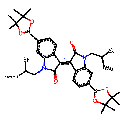 CCCCCC(CC)CN1C(=O)/C(=C2/C(=O)N(CC(CC)CCCC)c3cc(B4OC(C)(C)C(C)(C)O4)ccc32)c2ccc(B3OC(C)(C)C(C)(C)O3)cc21